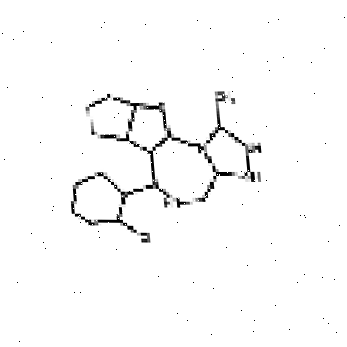 CC1NNC2CNC(C3CCCCC3Cl)C3C4CCCC4SC3N12